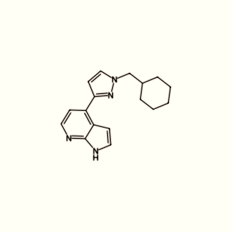 c1cc(-c2ccn(CC3CCCCC3)n2)c2cc[nH]c2n1